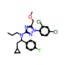 CCCN(c1nc(COC)n(-c2ccc(Cl)cc2Cl)n1)C(CC1CC1)c1ccc(F)cc1